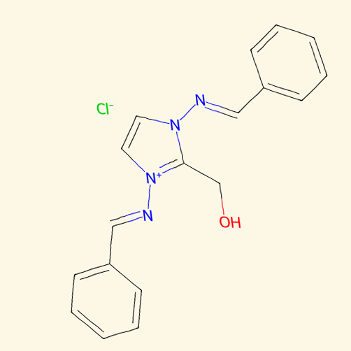 OCc1n(/N=C/c2ccccc2)cc[n+]1/N=C/c1ccccc1.[Cl-]